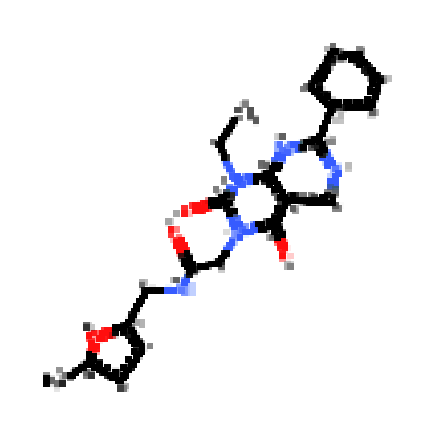 CCn1c(=O)n(CC(=O)NCc2ccc(C)o2)c(=O)c2cnc(-c3ccccc3)nc21